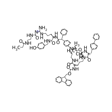 CCC(=O)NCCNC(=O)/N=C(/N)NCCC[C@@H](NC(=O)C(c1ccccc1)c1ccc(NCCCNC(=O)[C@@H](CCCNC(=O)[C@@H](Cc2ccc(-c3ccccc3)cc2)NC(=O)OC(C)(C)C)NC(=O)OCC2c3ccccc3-c3ccccc32)cc1)C(=O)NCc1ccc(O)cc1